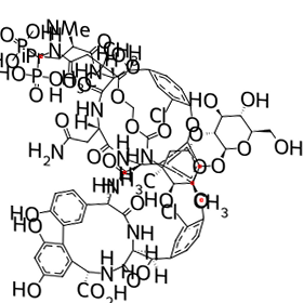 CN[C@H](CC(C)C)C(=O)N[C@H]1C(=O)N[C@@H](CC(N)=O)C(=O)N[C@H]2C(=O)N[C@H]3C(=O)N[C@H](C(=O)N[C@H](C(=O)O)c4cc(O)cc(O)c4-c4cc3ccc4O)[C@H](O)c3ccc(c(Cl)c3)Oc3cc2cc(c3O[C@@H]2O[C@H](CO)[C@@H](O)[C@H](O)[C@H]2O[C@H]2C[C@](C)(NC(=O)OCOC(=O)C(C)(C)CC(=O)NC(P(=O)(O)O)P(=O)(O)O)[C@H](O)[C@H](C)O2)Oc2ccc(cc2Cl)[C@H]1O